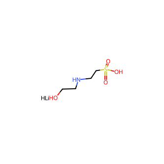 O=S(=O)(O)CCNCCO.[LiH]